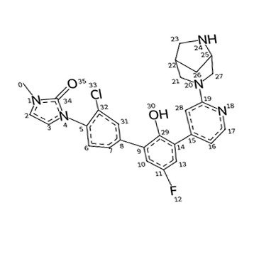 Cn1ccn(-c2ccc(-c3cc(F)cc(-c4ccnc(N5CC6CNC(C6)C5)c4)c3O)cc2Cl)c1=O